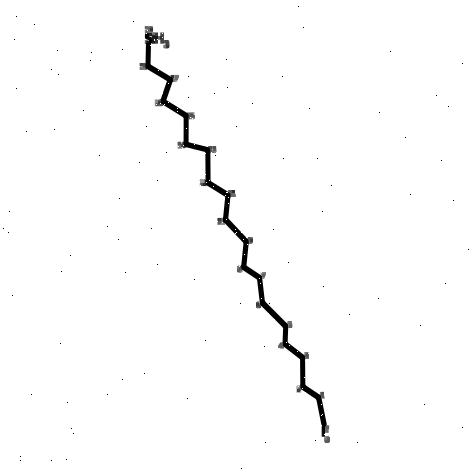 FCCCCCCCCCCCCCCCCCC[SiH3]